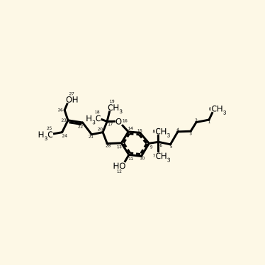 CCCCCCC(C)(C)c1cc(O)c2c(c1)OC(C)(C)C(C/C=C(\CC)CO)C2